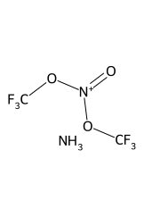 N.O=[N+](OC(F)(F)F)OC(F)(F)F